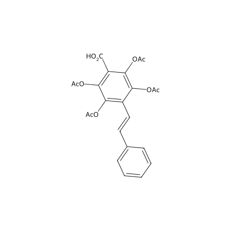 CC(=O)Oc1c(C=Cc2ccccc2)c(OC(C)=O)c(OC(C)=O)c(C(=O)O)c1OC(C)=O